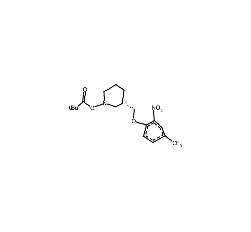 CC(C)(C)C(=O)ON1CCC[C@H](COc2ccc(C(F)(F)F)cc2[N+](=O)[O-])C1